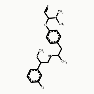 COC(CNC(C)Cc1ccc(OC(C=O)N(C)C)cc1)c1cccc(Cl)c1